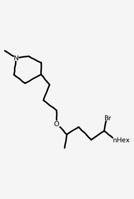 CCCCCCC(Br)CCC(C)OCCCC1CCN(C)CC1